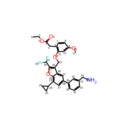 CCOC(=O)Cc1ccc(OC)cc1OCc1c(C(F)F)oc2c(C3CC3)cc(-c3cccc(CN)c3)cc12